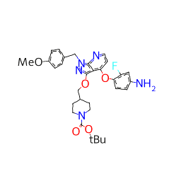 COc1ccc(Cn2nc(OCC3CCN(C(=O)OC(C)(C)C)CC3)c3c(Oc4ccc(N)cc4F)ccnc32)cc1